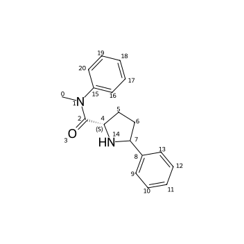 CN(C(=O)[C@@H]1CCC(c2ccccc2)N1)c1ccccc1